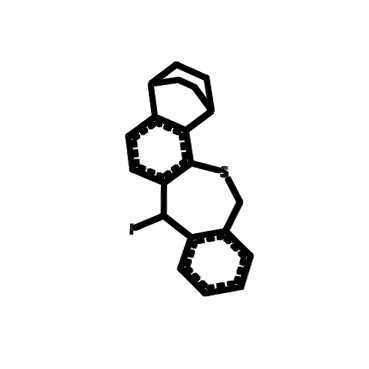 IC1c2ccccc2CSc2c1ccc1c2C2CCC1CC2